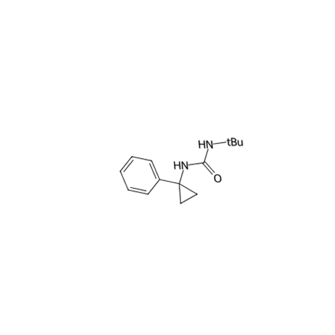 CC(C)(C)NC(=O)NC1(c2ccccc2)CC1